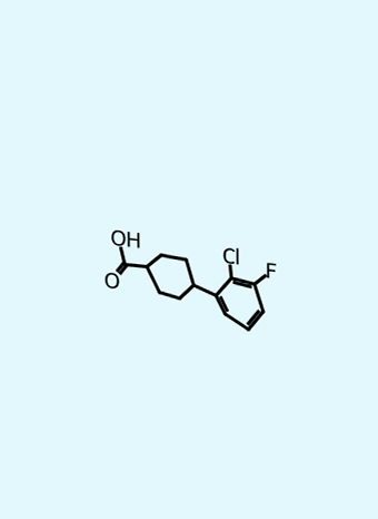 O=C(O)C1CCC(c2cccc(F)c2Cl)CC1